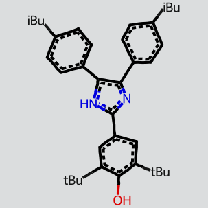 CCC(C)c1ccc(-c2nc(-c3cc(C(C)(C)C)c(O)c(C(C)(C)C)c3)[nH]c2-c2ccc(C(C)CC)cc2)cc1